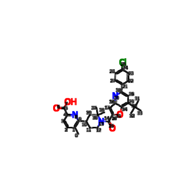 Cc1ccc(C(=O)O)nc1C1CCN(C(=O)c2cc3nc(-c4ccc(Cl)cc4)cc(C(C)(C)C)c3o2)C(C)(C)C1